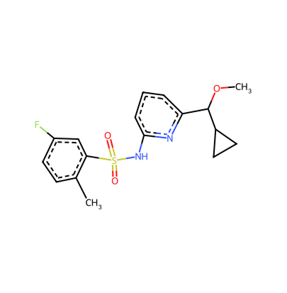 COC(c1cccc(NS(=O)(=O)c2cc(F)ccc2C)n1)C1CC1